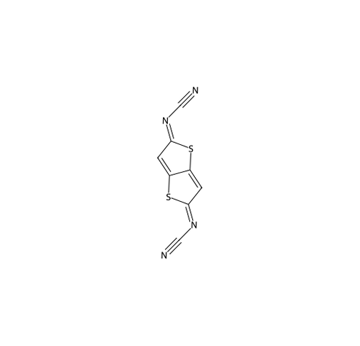 N#CN=C1C=C2SC(=NC#N)C=C2S1